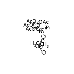 CC(=O)OC[C@H]1O[C@@H](Oc2cc(C(C)C)n(Cc3ccc(OCC(C)(C)C(=O)OCc4ccccc4)cc3)n2)[C@H](OC(C)=O)[C@@H](OC(C)=O)[C@@H]1OC(C)=O